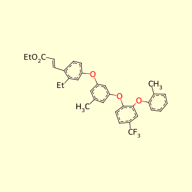 CCOC(=O)/C=C/c1ccc(Oc2cc(C)cc(Oc3ccc(C(F)(F)F)cc3Oc3ccccc3C)c2)cc1CC